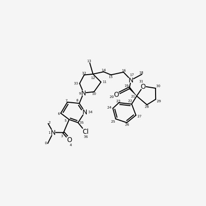 CN(C)C(=O)c1ccc(N2CCC(C)(CCCN(C)C(=O)[C@]3(c4ccccc4)CCCO3)CC2)nc1Cl